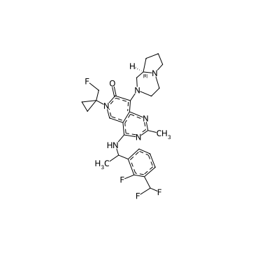 Cc1nc(NC(C)c2cccc(C(F)F)c2F)c2cn(C3(CF)CC3)c(=O)c(N3CCN4CCC[C@@H]4C3)c2n1